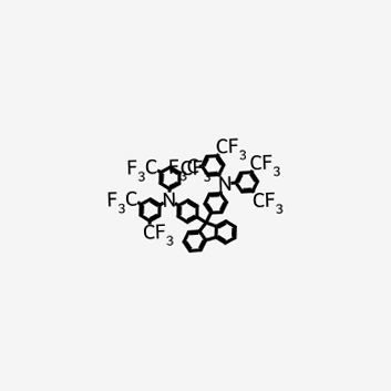 FC(F)(F)c1cc(N(c2ccc(C3(c4ccc(N(c5cc(C(F)(F)F)cc(C(F)(F)F)c5)c5cc(C(F)(F)F)cc(C(F)(F)F)c5)cc4)c4ccccc4-c4ccccc43)cc2)c2cc(C(F)(F)F)cc(C(F)(F)F)c2)cc(C(F)(F)F)c1